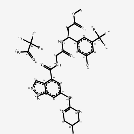 COC(=O)C[C@H](NC(=O)CNC(=O)c1cc(NC2=NCC(F)CN2)cc2[nH]ncc12)c1cc(Cl)cc(C(F)(F)F)c1.O=C(O)C(F)(F)F